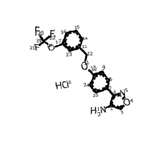 Cl.Nc1conc1-c1ccc(OCc2cccc(OC(F)(F)F)c2)cc1